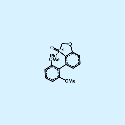 COc1cccc(OC)c1-c1cccc2c1[P@](=O)(C(C)(C)C)CO2